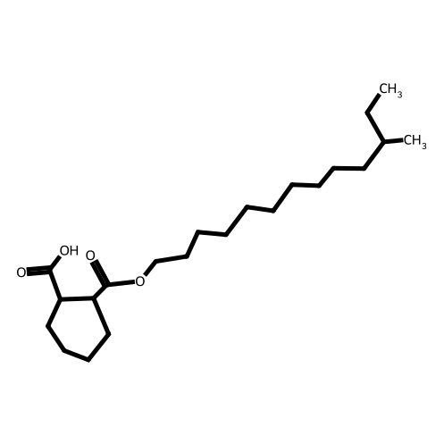 CCC(C)CCCCCCCCCCOC(=O)C1CCCCC1C(=O)O